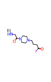 CCNCC(=O)N1CCN(CCCC(=O)I)CC1